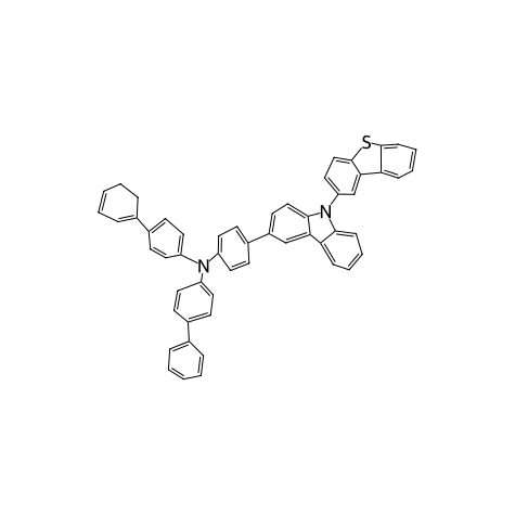 C1=CCCC(c2ccc(N(c3ccc(-c4ccccc4)cc3)c3ccc(-c4ccc5c(c4)c4ccccc4n5-c4ccc5sc6ccccc6c5c4)cc3)cc2)=C1